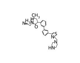 CC(C)CC(C(=O)NCC#N)c1cccc(-c2cccc(-c3csc(CN4CCNCC4)n3)c2)c1